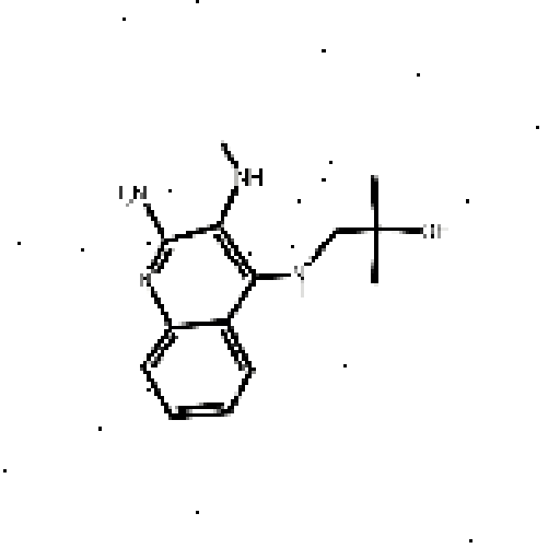 CNc1c(N)nc2ccccc2c1NCC(C)(C)O